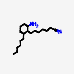 CCCCCCC1CCCC(N)C1CCCCCCC#N